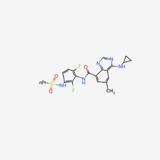 CCCS(=O)(=O)Nc1ccc(F)c(NC(=O)c2cc(C)cc3c(NC4CC4)ncnc23)c1F